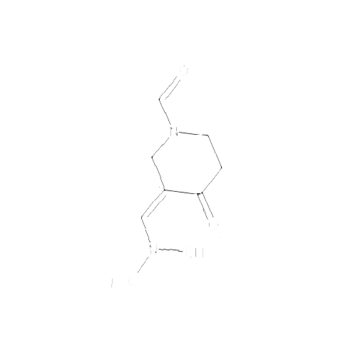 CN(C)/C=C1/CN(C=O)CCC1=O